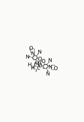 COc1cc(C#N)c(N2CCOCC2)c(C#N)c1OC(=O)Oc1c(OC)cc(C#N)c(N2CCOCC2)c1C#N